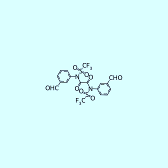 O=Cc1cccc(N(C(=O)C(=O)N(c2cccc(C=O)c2)S(=O)(=O)C(F)(F)F)S(=O)(=O)C(F)(F)F)c1